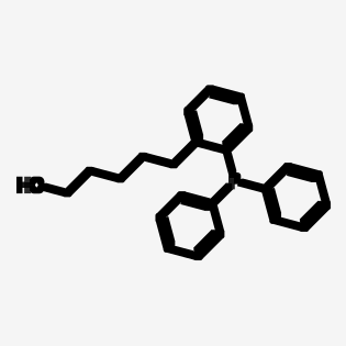 OCCCCCc1ccccc1P(c1ccccc1)c1ccccc1